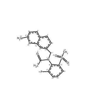 CC(=O)N(Cc1ccc2ccc(N)nc2c1)c1c(F)cccc1S(C)(=O)=O